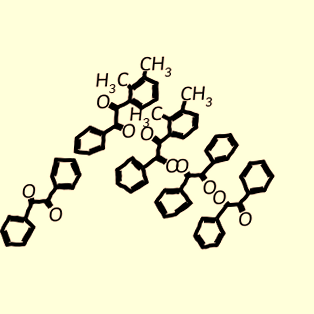 Cc1cccc(C(=O)C(=O)c2ccccc2)c1C.Cc1cccc(C(=O)C(=O)c2ccccc2)c1C.O=C(C(=O)c1ccccc1)c1ccccc1.O=C(C(=O)c1ccccc1)c1ccccc1.O=C(C(=O)c1ccccc1)c1ccccc1